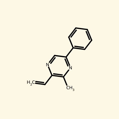 C=Cc1ncc(-c2ccccc2)nc1C